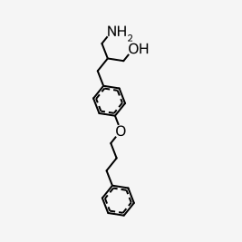 NCC(CO)Cc1ccc(OCCCc2ccccc2)cc1